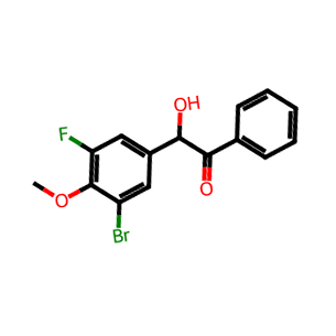 COc1c(F)cc(C(O)C(=O)c2ccccc2)cc1Br